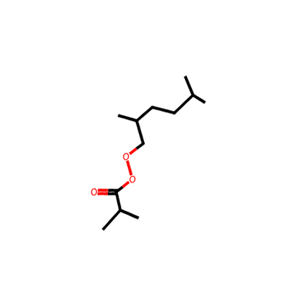 CC(C)CCC(C)COOC(=O)C(C)C